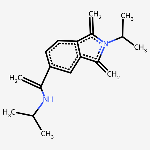 C=C(NC(C)C)c1ccc2c(=C)n(C(C)C)c(=C)c2c1